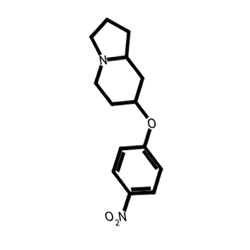 O=[N+]([O-])c1ccc(OC2CCN3CCCC3C2)cc1